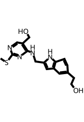 CSc1ncc(CO)c(NCc2cc3cc(CCO)ccc3[nH]2)n1